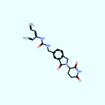 C=C/C=C(\C=C)NC(=O)NCc1ccc2c(c1)C(=O)N(C1CCC(=O)NC1=O)C2